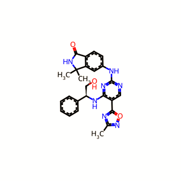 Cc1noc(-c2cnc(Nc3ccc4c(c3)C(C)(C)NC4=O)nc2N[C@H](CO)c2ccccc2)n1